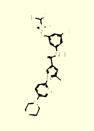 Cc1cc(C(=O)Nc2cc(Cl)cc(NS(=O)(=O)C(F)F)c2)cn1-c1ccc(N2CCOCC2)cn1